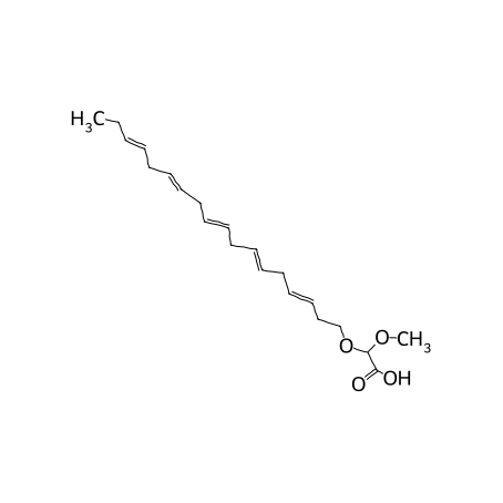 CCC=CCC=CCC=CCC=CCC=CCCOC(OC)C(=O)O